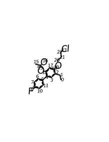 CCc1cc(-c2ccc(F)cc2)c(OC(C)=O)cc1OCCCCl